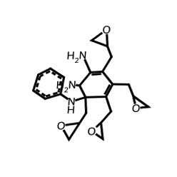 NC1=C(CC2CO2)C(CC2CO2)=C(CC2CO2)C(CC2CO2)(Nc2ccccc2)C1N